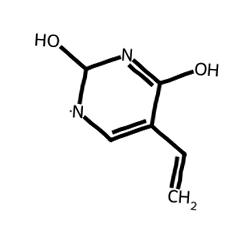 C=CC1=C[N]C(O)N=C1O